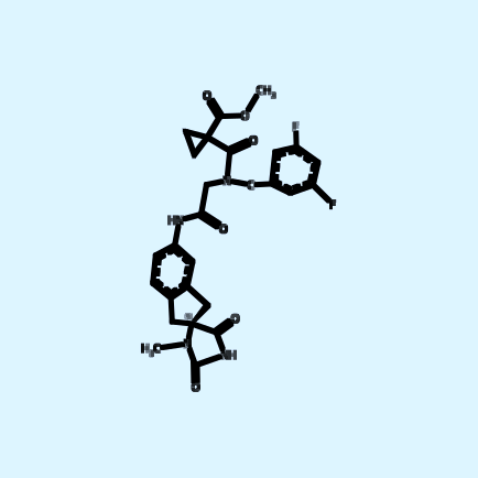 COC(=O)C1(C(=O)N(CC(=O)Nc2ccc3c(c2)C[C@@]2(C3)C(=O)NC(=O)N2C)Cc2cc(F)cc(F)c2)CC1